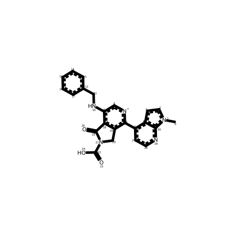 Cn1ccc2c(-c3ncc(NCc4ccccc4)c4c3CN(C(=O)O)C4=O)ccnc21